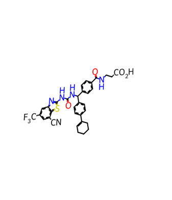 N#Cc1cc(C(F)(F)F)cc2nc(NC(=O)NC(c3ccc(C(=O)NCCC(=O)O)cc3)c3ccc(C4=CCCCC4)cc3)sc12